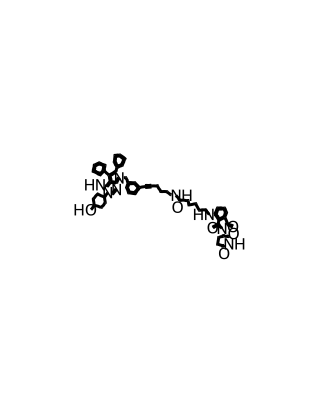 N=c1c2c(-c3ccccc3)c(-c3ccccc3)n(Cc3cccc(C#CCCCCNC(=O)CCCCCNc4cccc5c4C(=O)N(C4CCC(=O)NC4=O)C5=O)c3)c2ncn1C1CCC(O)CC1